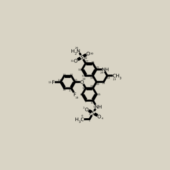 CCS(=O)(=O)Nc1ccc(Oc2ccc(F)cc2F)c(C2CC(C)Nc3cc(S(N)(=O)=O)ccc32)c1